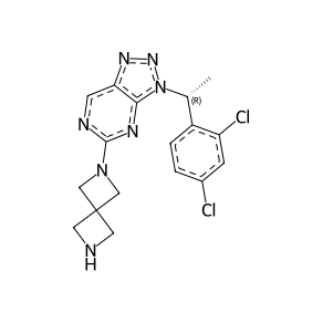 C[C@H](c1ccc(Cl)cc1Cl)n1nnc2cnc(N3CC4(CNC4)C3)nc21